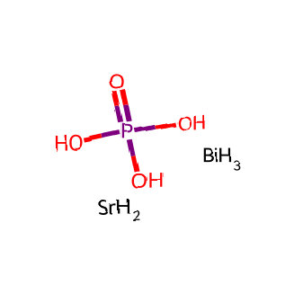 O=P(O)(O)O.[BiH3].[SrH2]